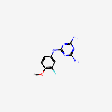 CC(C)Oc1ccc(Nc2nc(N)nc(N)n2)cc1F